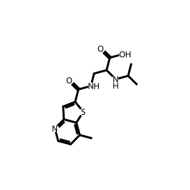 Cc1ccnc2cc(C(=O)NCC(NC(C)C)C(=O)O)sc12